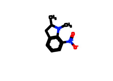 CC1Cc2cccc([N+](=O)[O-])c2N1C